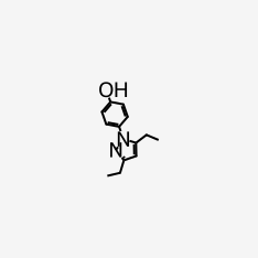 CCc1cc(CC)n(-c2ccc(O)cc2)n1